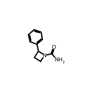 NC(=O)N1CCC1c1ccccc1